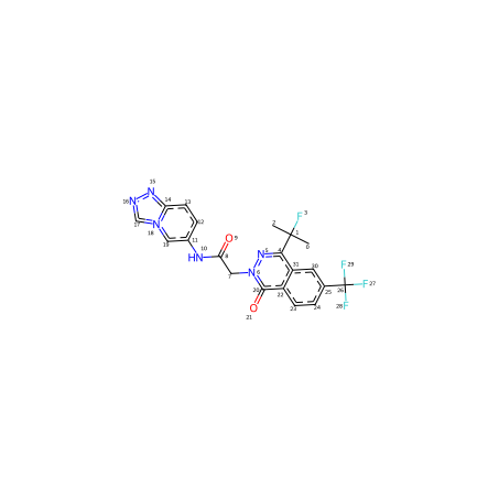 CC(C)(F)c1nn(CC(=O)Nc2ccc3nncn3c2)c(=O)c2ccc(C(F)(F)F)cc12